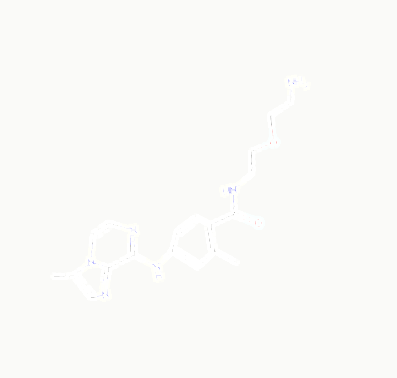 Cc1cc(Nc2nccn3c(C)cnc23)ccc1C(=O)NCCOCCN